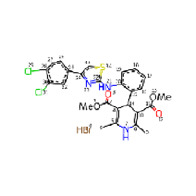 Br.COC(=O)C1=C(C)NC(C)=C(C(=O)OC)C1c1ccccc1Nc1nc(-c2ccc(Cl)c(Cl)c2)cs1